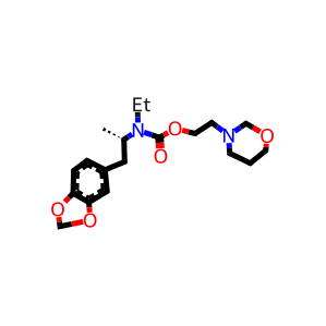 CCN(C(=O)OCCN1CCCOC1)[C@@H](C)Cc1ccc2c(c1)OCO2